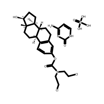 C[C@]12CC[C@@H]3c4ccc(OC(=O)N(CCCl)CCCl)cc4CC[C@H]3[C@@H]1CC[C@@H]2O.Nc1cc[nH]c(=O)n1.O=P(O)(O)O